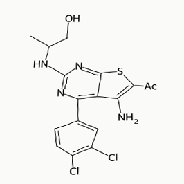 CC(=O)c1sc2nc(NC(C)CO)nc(-c3ccc(Cl)c(Cl)c3)c2c1N